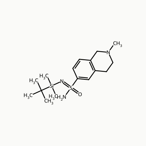 CN1CCc2cc(S(N)(=O)=N[Si](C)(C)C(C)(C)C)ccc2C1